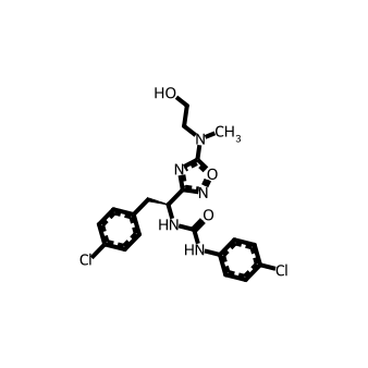 CN(CCO)c1nc([C@H](Cc2ccc(Cl)cc2)NC(=O)Nc2ccc(Cl)cc2)no1